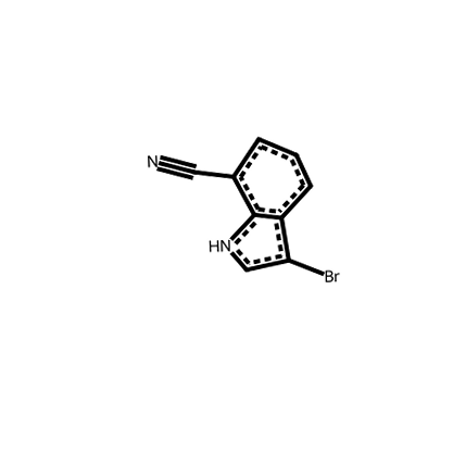 N#Cc1cccc2c(Br)c[nH]c12